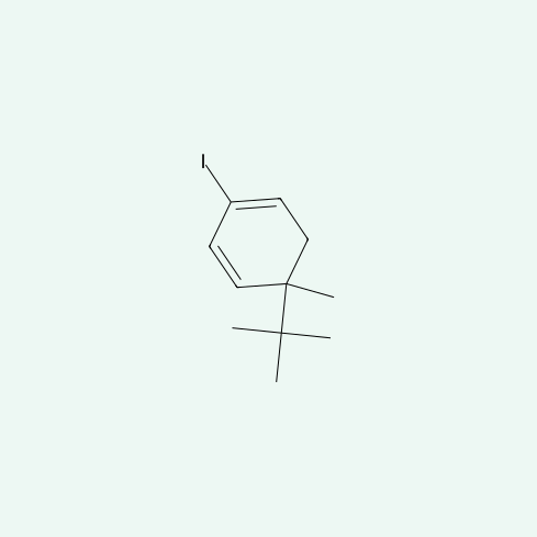 CC(C)(C)C1(C)C=CC(I)=CC1